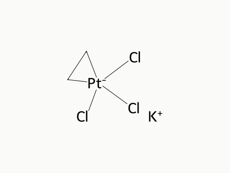 [Cl][Pt-]1([Cl])([Cl])[CH2][CH2]1.[K+]